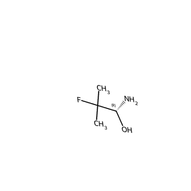 CC(C)(F)[C@H](N)O